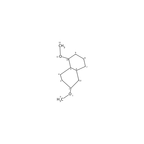 COC1CCC2C(CCCC2OC)C1